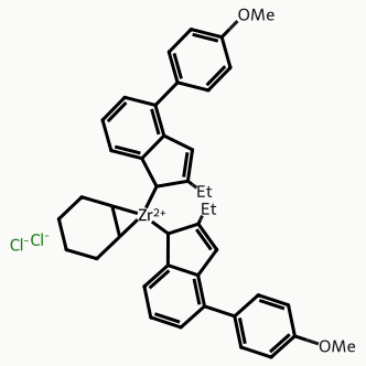 CCC1=Cc2c(-c3ccc(OC)cc3)cccc2[CH]1[Zr+2]1([CH]2C(CC)=Cc3c(-c4ccc(OC)cc4)cccc32)[CH]2CCCC[CH]21.[Cl-].[Cl-]